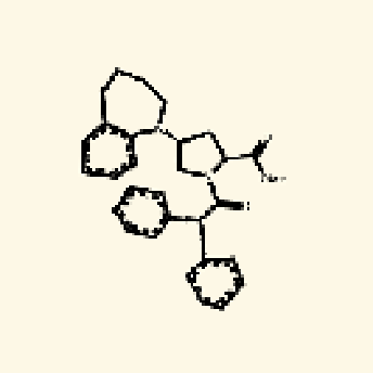 COC(=O)[C@@H]1C[C@H](N2CCCCc3ccccc32)CN1C(=O)C(c1ccccc1)c1ccccc1